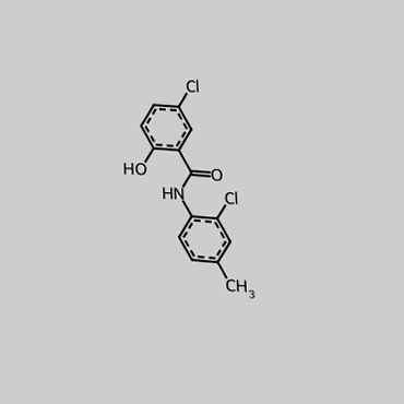 Cc1ccc(NC(=O)c2cc(Cl)ccc2O)c(Cl)c1